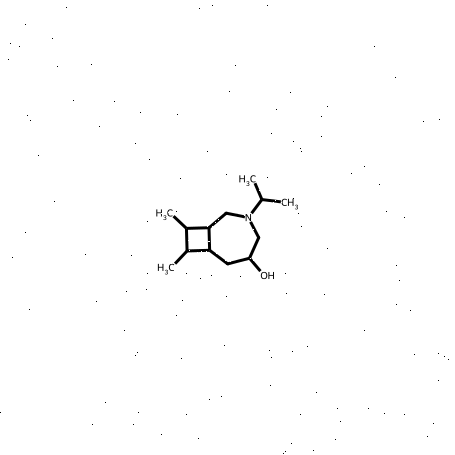 CC1C(C)C2CN(C(C)C)CC(O)CC12